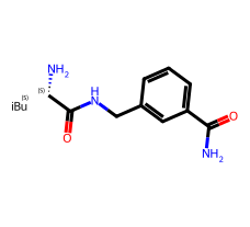 CC[C@H](C)[C@H](N)C(=O)NCc1cccc(C(N)=O)c1